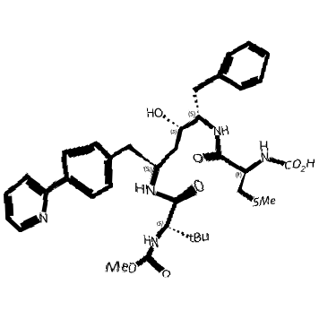 COC(=O)N[C@H](C(=O)N[C@@H](Cc1ccc(-c2ccccn2)cc1)C[C@H](O)[C@H](Cc1ccccc1)NC(=O)[C@H](CSC)NC(=O)O)C(C)(C)C